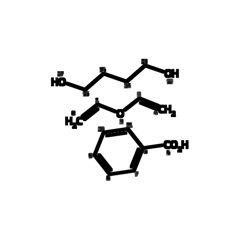 C=COC=C.O=C(O)c1ccccc1.OCCCCO